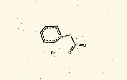 O=[SH](=O)O[n+]1ccccc1.[Br-]